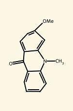 COc1ccc2c(=O)c3ccccc3n(C)c2c1